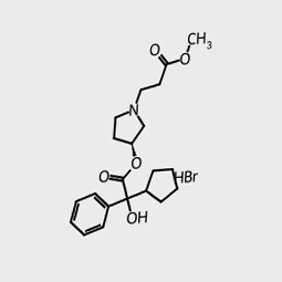 Br.COC(=O)CCN1CC[C@H](OC(=O)C(O)(c2ccccc2)C2CCCC2)C1